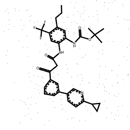 CCCc1cc(NC(=O)OC(C)(C)C)c(NC(=O)CC(=O)c2cccc(-c3ccc(C4CC4)nc3)c2)cc1C(F)(F)F